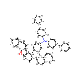 c1ccc(-c2ccc(N(c3ccc(-c4ccccc4)cc3)c3ccc(-c4cccc5oc6c7ccccc7ccc6c45)c(-c4cccc5ccccc45)c3)cc2)cc1